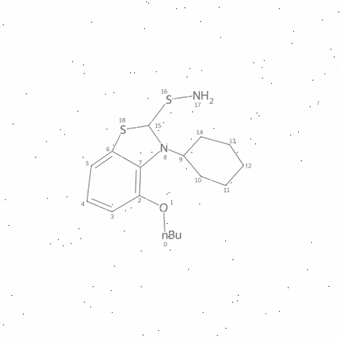 CCCCOc1cccc2c1N(C1CCCCC1)C(SN)S2